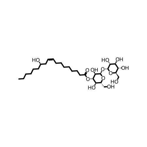 CCCCCC[C@@H](O)C/C=C\CCCCCCCC(=O)O[C@@H]1[C@@H](O)[C@@H](O[C@H]2O[C@H](CO)[C@@H](O)[C@H](O)[C@H]2O)O[C@H](CO)[C@H]1O